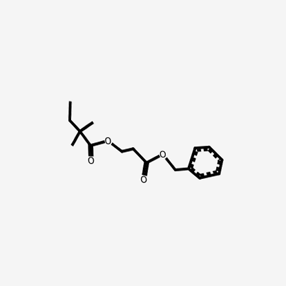 CCC(C)(C)C(=O)OCCC(=O)OCc1ccccc1